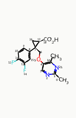 Cc1ncc(OC[C@@]2(c3ccc(F)c(F)c3)C[C@H]2C(=O)O)c(C)n1